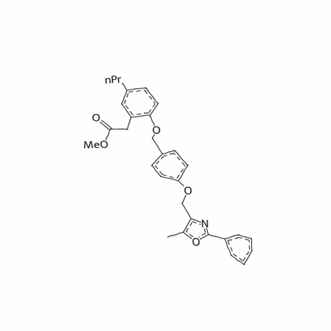 CCCc1ccc(OCc2ccc(OCc3nc(-c4ccccc4)oc3C)cc2)c(CC(=O)OC)c1